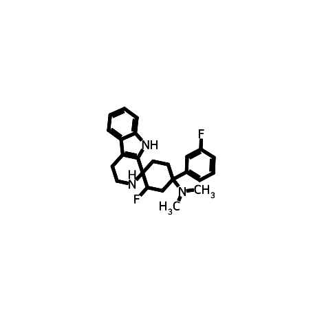 CN(C)C1(c2cccc(F)c2)CCC2(NCCc3c2[nH]c2ccccc32)C(F)C1